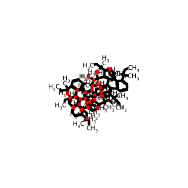 CCC(C)(C)c1ccc(OP(Oc2ccc(C(C)(C)CC)c(-c3cccc(C(C)(C)CC)c3C(C)(C)CC)c2-c2cccc(C(C)(C)CC)c2C(C)(C)CC)Oc2ccc(C(C)(C)CC)c(-c3cccc(C(C)(C)CC)c3C(C)(C)CC)c2-c2cccc(C(C)(C)CC)c2C(C)(C)CC)c(-c2cccc(C(C)(C)CC)c2C(C)(C)CC)c1-c1cccc(C(C)(C)CC)c1C(C)(C)CC